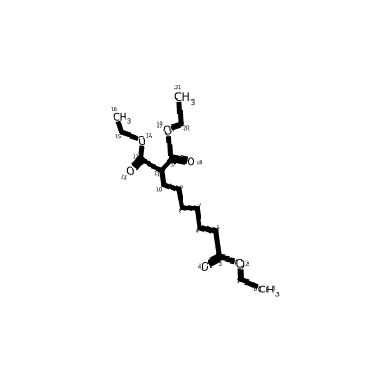 CCOC(=O)CCCCCCC(C(=O)OCC)C(=O)OCC